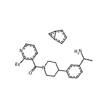 CCc1ncccc1C(=O)N1CCC(c2cccc(C(C)N)c2)CC1.c1cc2cc-2c1